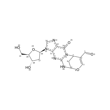 O=CC1=COC2CC1n1c(nc3c(ncn3[C@H]3C[C@H](O)[C@@H](CO)O3)c1=O)N2